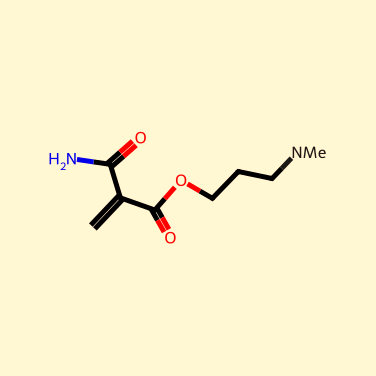 C=C(C(N)=O)C(=O)OCCCNC